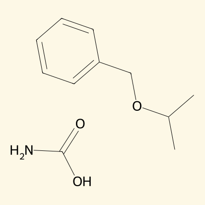 CC(C)OCc1ccccc1.NC(=O)O